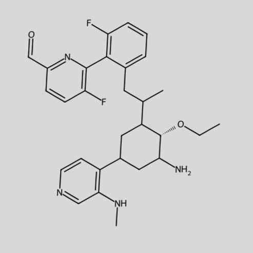 CCO[C@@H]1C(N)CC(c2ccncc2NC)CC1C(C)Cc1cccc(F)c1-c1nc(C=O)ccc1F